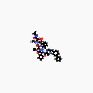 CCC[C@@H](NC(=O)[C@@H]1[C@H]2CCC[C@H]2CN1C(=O)[C@@H](NC(=O)[C@@H](NC(=O)c1cnc(CC2CCCC(c3ccccc3)CC2)cn1)C1CCCCC1)C(C)(C)C)C(O)C(=O)NC1CC1